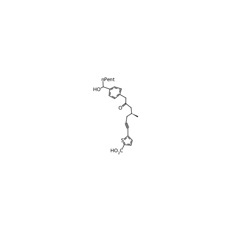 CCCCCC(O)c1ccc(CC(=O)C[C@@H](C)CC#Cc2ccc(C(=O)O)s2)cc1